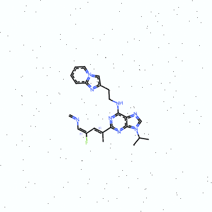 C=N/C=C(F)\C=C(/C)c1nc(NCCc2cn3ccccc3n2)c2ncn(C(C)C)c2n1